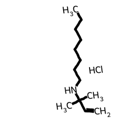 C=CC(C)(C)NCCCCCCCC.Cl